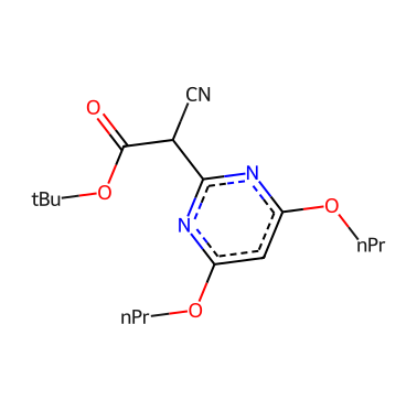 CCCOc1cc(OCCC)nc(C(C#N)C(=O)OC(C)(C)C)n1